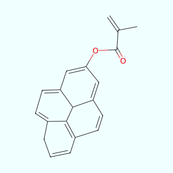 C=C(C)C(=O)OC1=CC2=CC=C3CC=CC4=C3C2C(=C1)C=C4